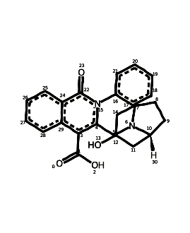 O=C(O)c1c(CN2C3CC[C@@H]2CC(O)C3)n(-c2ccccc2)c(=O)c2ccccc12